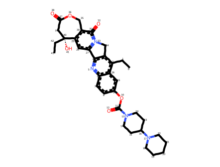 CCc1c2c(nc3ccc(OC(=O)N4CCC(N5CCCCC5)CC4)cc13)-c1cc3c(c(=O)n1C2)COC(=O)C[C@]3(O)CC